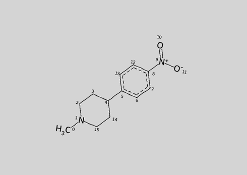 CN1CCC(c2ccc([N+](=O)[O-])cc2)CC1